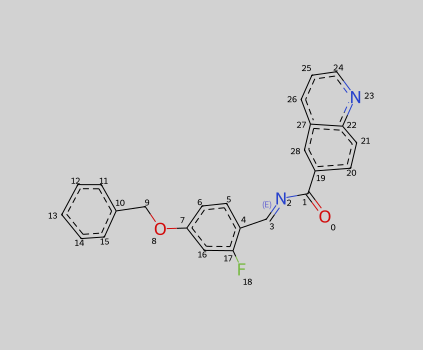 O=C(/N=C/c1ccc(OCc2ccccc2)cc1F)c1ccc2ncccc2c1